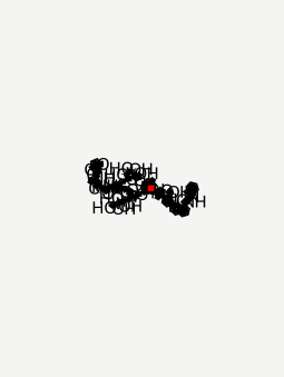 Cc1c(-c2ccc(N3CCc4cccc(C(=O)Nc5nc6ccccc6s5)c4C3)nc2C(=O)O)cnn1CC12CC3(C)CC(C)(C1)CC(OCCN(CC[C@@H](O)[C@H](O)[C@@H](O)CO)C(=O)OCc1ccc(NC(=O)[C@H](C)NC(=O)[C@@H](NC(=O)CN4C(=O)C=CC4=O)C(C)C)cc1CC[C@@H]1O[C@H](C(=O)O)[C@@H](O)[C@H](O)[C@H]1O)(C3)C2